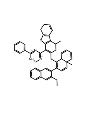 CCc1cc2ccccc2cc1C1=C(CC2=C(C(=N/C)/N=C(\N)c3ccccc3)c3oc4c(c3C(C)C2)C=CCC4)C2C=CC=CC2(C)C=C1